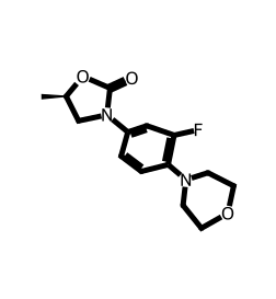 C[C@@H]1CN(c2ccc(N3CCOCC3)c(F)c2)C(=O)O1